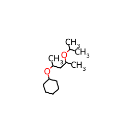 CC(C)OC(C)CC(C)OC1CCCCC1